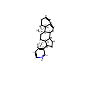 C[C@]12CCC3C(CC=C4C=CCC[C@@]43C)C1CCC2c1cccnc1